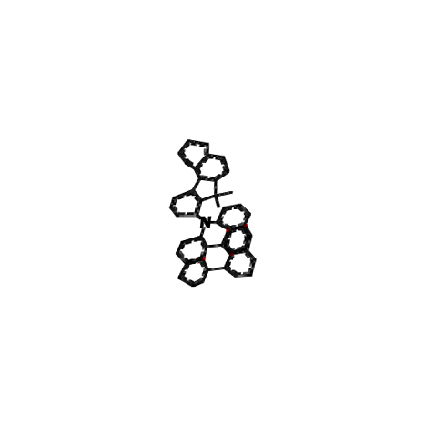 CC1(C)c2ccc3ccccc3c2-c2cccc(N(c3ccccc3-c3cccc4cccc(-c5ccccc5)c34)c3cccc4ccccc34)c21